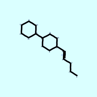 CCC/C=C/C1CCC(C2CCCCC2)CC1